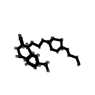 CCCCC1CCN(CCCN2C(=O)COc3ccc(OC)cc32)CC1